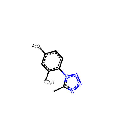 CC(=O)Oc1ccc(-n2nnnc2C)c(C(=O)O)c1